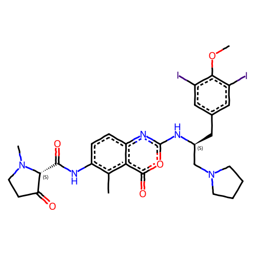 COc1c(I)cc(C[C@@H](CN2CCCC2)Nc2nc3ccc(NC(=O)[C@@H]4C(=O)CCN4C)c(C)c3c(=O)o2)cc1I